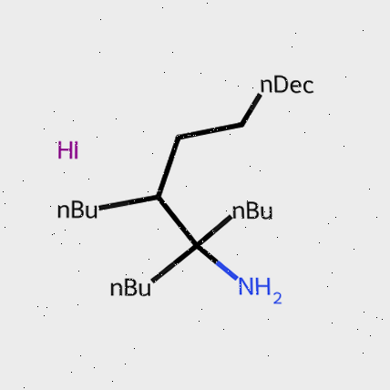 CCCCCCCCCCCCC(CCCC)C(N)(CCCC)CCCC.I